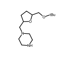 CC(C)(C)OCC1CCC(CN2CCNCC2)O1